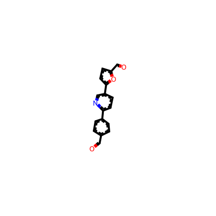 O=Cc1ccc(-c2ccc(-c3ccc(C=O)o3)cn2)cc1